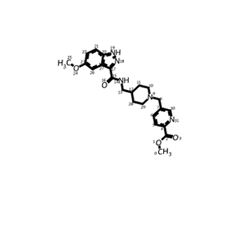 COC(=O)c1ccc(CN2CCC(CNC(=O)c3n[nH]c4ccc(OC)cc34)CC2)cn1